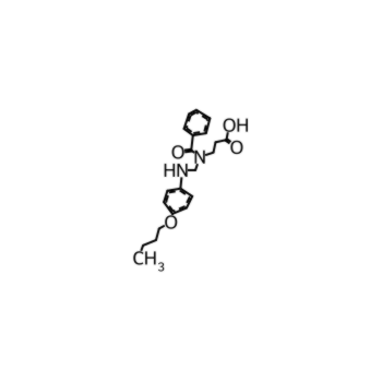 CCCCOc1ccc(NCN(CCC(=O)O)C(=O)c2ccccc2)cc1